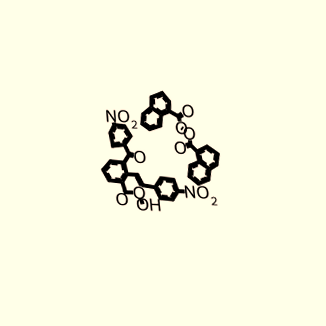 O=C(OO)c1cccc(C(=O)c2ccc([N+](=O)[O-])cc2)c1/C=C/c1ccc([N+](=O)[O-])cc1.O=C(OOC(=O)c1cccc2ccccc12)c1cccc2ccccc12